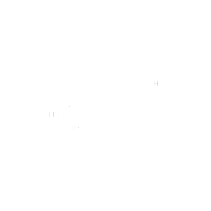 CCCCCCC[C](C(C)=O)C(=O)O